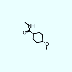 CNC(=O)[C@H]1CC[C@H](OC)CC1